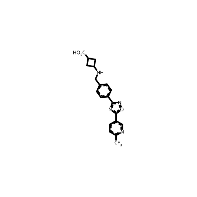 O=C(O)C1CC(NCc2ccc(-c3noc(-c4ccc(C(F)(F)F)nc4)n3)cc2)C1